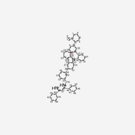 CSc1ccccc1-c1cccc(-c2ccccc2-n2c3ccccc3c3cc(-c4cccc(CN/C(=C\C(=N)c5ccccc5)c5ccccc5)c4)ccc32)c1